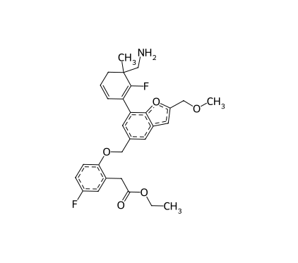 CCOC(=O)Cc1cc(F)ccc1OCc1cc(C2=C(F)C(C)(CN)CC=C2)c2oc(COC)cc2c1